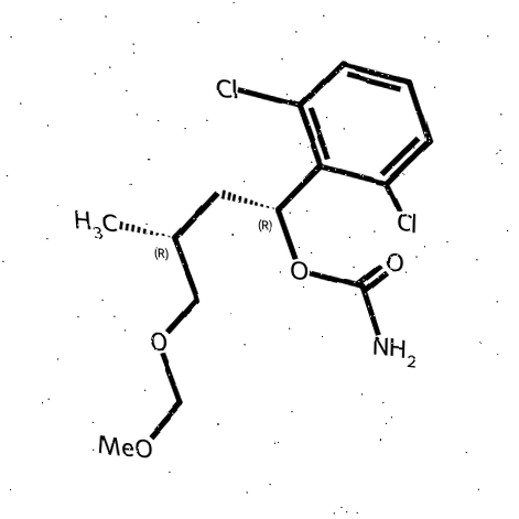 COCOC[C@H](C)C[C@@H](OC(N)=O)c1c(Cl)cccc1Cl